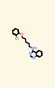 Clc1ccccc1OCCCCCNc1ncnc2ccccc12